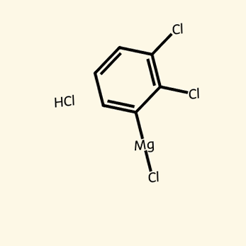 Cl.[Cl][Mg][c]1cccc(Cl)c1Cl